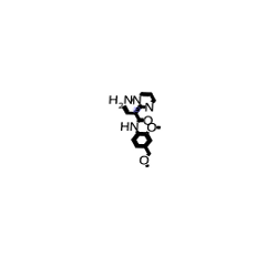 C=C/C(C(=O)Nc1ccc(COC)cc1OC)=C1/N=CC=CN1N